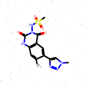 Cn1cc(-c2cc3c(=O)n(NS(C)(=O)=O)c(=O)[nH]c3cc2C(F)(F)F)nn1